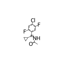 CC(=O)N[C@@H](c1cc(F)c(Cl)cc1F)C1CC1